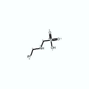 CC(C)CNCS(=O)(=O)O